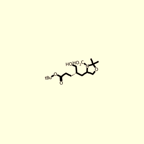 CC(C)(C)OC(=O)CC[C@H](CO)CC1COC(C)(C)N1C(=O)O